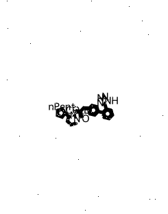 CCCCCc1c(Cc2ccc(-c3ccccc3-c3nnn[nH]3)cc2)c(=O)n2n1C(C1(C(=O)OCC)CCCC1)CCC2